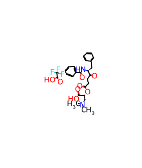 CN(C)C[C@H](OC(=O)CCC(=O)[C@H](Cc1ccccc1)NC(=O)c1ccccc1)C(=O)O.O=C(O)C(F)(F)F